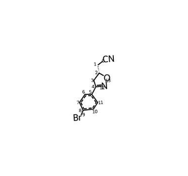 N#CC[C@H]1CC(c2ccc(Br)cc2)=NO1